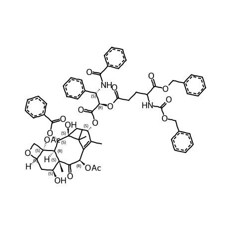 CC(=O)O[C@H]1C(=O)[C@@]2(C)[C@H]([C@H](OC(=O)c3ccccc3)[C@]3(O)C[C@H](OC(=O)[C@H](OC(=O)CCC(NC(=O)OCc4ccccc4)C(=O)OCc4ccccc4)[C@@H](NC(=O)c4ccccc4)c4ccccc4)C(C)=C1C3(C)C)[C@]1(OC(C)=O)CO[C@@H]1C[C@@H]2O